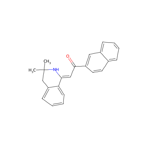 CC1(C)Cc2ccccc2/C(=C/C(=O)c2ccc3ccccc3c2)N1